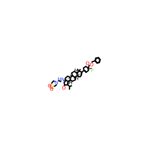 CC(C)C1=C2[C@H]3CC[C@@H]4[C@@]5(C)CC=C(C6=CC[C@@](CF)(C(=O)OCc7ccccc7)CC6)C(C)(C)[C@@H]5CC[C@@]4(C)[C@]3(C)CC[C@@]2(NCCN2CCS(=O)(=O)CC2)CC1=O